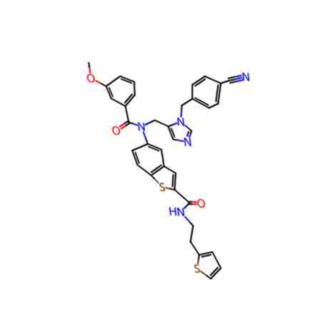 COc1cccc(C(=O)N(Cc2cncn2Cc2ccc(C#N)cc2)c2ccc3sc(C(=O)NCCc4cccs4)cc3c2)c1